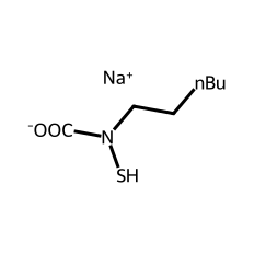 CCCCCCN(S)C(=O)[O-].[Na+]